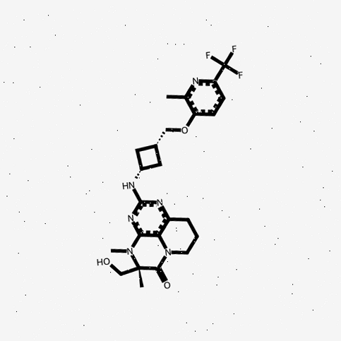 Cc1nc(C(F)(F)F)ccc1OC[C@H]1C[C@@H](Nc2nc3c4c(n2)N(C)[C@@](C)(CO)C(=O)N4CCC3)C1